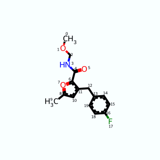 COCNC(=O)c1oc(C)cc1Cc1ccc(F)cc1